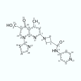 Cc1cc(N2CC(C(=O)Nc3ccncc3)C2)nc2c1c(=O)c(C(=O)O)cn2-c1nccs1